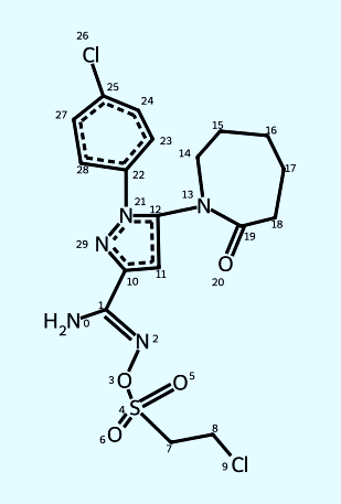 NC(=NOS(=O)(=O)CCCl)c1cc(N2CCCCCC2=O)n(-c2ccc(Cl)cc2)n1